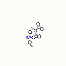 N#Cc1ccc(-c2nnc(-c3ccc(C#N)cc3)n2-c2ccc3c4ccccc4n(-c4cccc(-n5c6ccccc6c6ccccc65)c4)c3c2)cc1